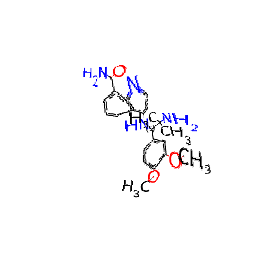 COc1ccc([C@H](Nc2ccnc3c(C(N)=O)cccc23)C(C)(C)N)cc1OC